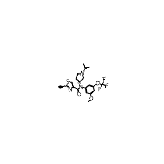 C#Cc1nc(C(=O)N(c2cc(OC)cc(OC(F)(F)F)c2)[C@@H]2CCN(C(C)C)C2)cs1